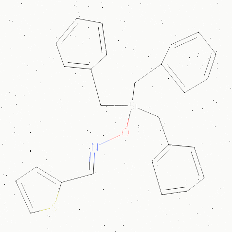 C(=NO[Si](Cc1ccccc1)(Cc1ccccc1)Cc1ccccc1)c1cccs1